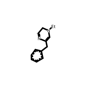 CCN1C=C(Cc2ccccc2)N=[C]C1